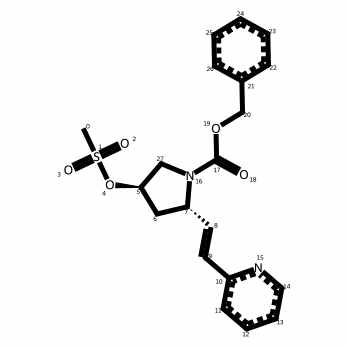 CS(=O)(=O)O[C@@H]1C[C@@H](C=Cc2ccccn2)N(C(=O)OCc2ccccc2)C1